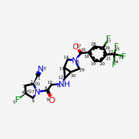 N#C[C@@H]1C[C@H](F)CN1C(=O)CNC1C2CN(C(=O)c3ccc(C(F)(F)F)c(F)c3)CC21